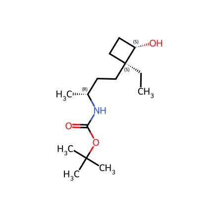 CC[C@]1(CC[C@@H](C)NC(=O)OC(C)(C)C)CC[C@@H]1O